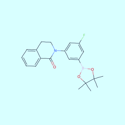 CC1(C)OB(c2cc(F)cc(N3CCc4ccccc4C3=O)c2)OC1(C)C